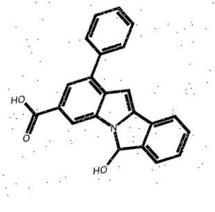 O=C(O)c1cc(-c2ccccc2)c2cc3n(c2c1)C(O)c1ccccc1-3